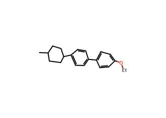 CCOc1ccc(-c2ccc(C3CCC(C)CC3)cc2)cc1